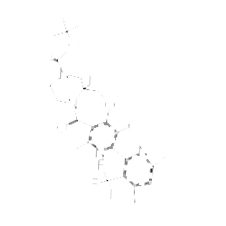 Cc1cc(C)c(C(F)(F)F)c(-c2nc(F)c3c(c2Cl)OC[C@H]2CN(C(=O)OC(C)(C)C)CCN2C3=O)n1